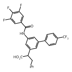 CC(C)CC(C(=O)O)c1cc(NC(=O)c2cc(F)c(F)c(F)c2)cc(-c2ccc(C(F)(F)F)cc2)c1